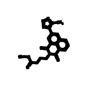 Cn1nnnc1-c1cc2c3c(cccc3c1)C(=O)N(CCCC(=O)OC(C)(C)C)C2=O